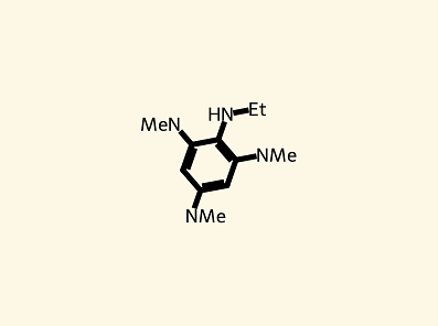 CCNc1c(NC)cc(NC)cc1NC